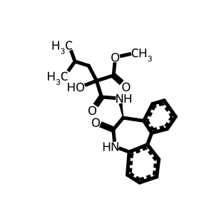 COC(=O)C(O)(CC(C)C)C(=O)N[C@@H]1C(=O)Nc2ccccc2-c2ccccc21